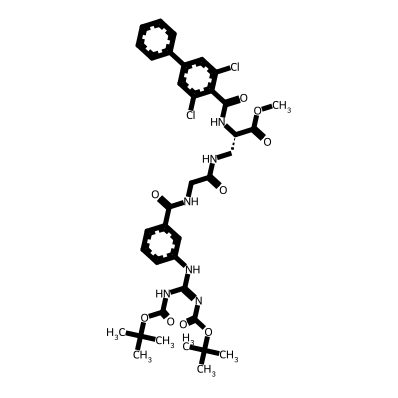 COC(=O)[C@H](CNC(=O)CNC(=O)c1cccc(N/C(=N/C(=O)OC(C)(C)C)NC(=O)OC(C)(C)C)c1)NC(=O)c1c(Cl)cc(-c2ccccc2)cc1Cl